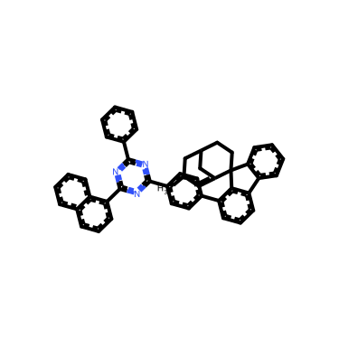 CC1C=C2CC(CCC23c2ccccc2-c2cccc(-c4ccc(-c5nc(-c6ccccc6)nc(-c6cccc7ccccc67)n5)cc4)c23)C1